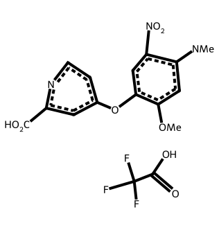 CNc1cc(OC)c(Oc2ccnc(C(=O)O)c2)cc1[N+](=O)[O-].O=C(O)C(F)(F)F